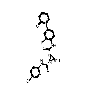 O=C(Nc1ccc(-n2ccccc2=O)cc1F)[C@@H]1[C@H](I)[C@@H]1C(=O)Nc1ccc(Cl)cn1